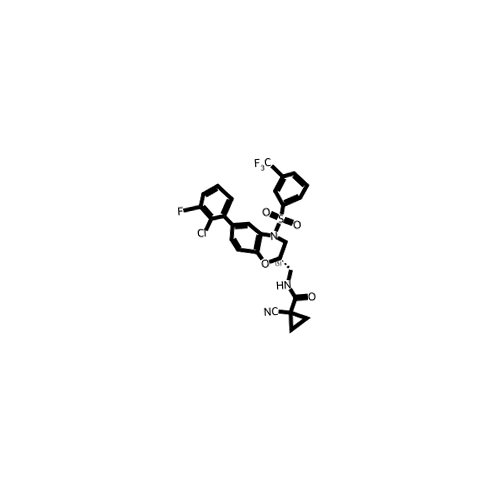 N#CC1(C(=O)NC[C@H]2CN(S(=O)(=O)c3cccc(C(F)(F)F)c3)c3cc(-c4cccc(F)c4Cl)ccc3O2)CC1